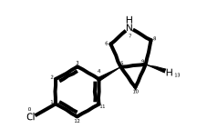 Clc1ccc([C@@]23CNC[C@@H]2C3)cc1